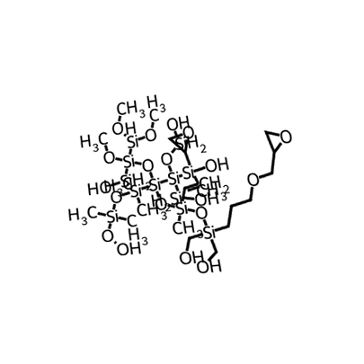 C=C[Si](C)(O[Si](CO)(CO)CCCOCC1CO1)O[Si](O[Si](OC)([SiH2]O)[SiH](OC)OC)([Si](C)(C)O[Si](C)(C)OO)[Si](O[SiH2]O)([SiH2]O)[Si](C)(O)C1CO1